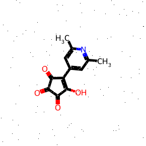 Cc1cc(-c2c(O)c(=O)c(=O)c2=O)cc(C)n1